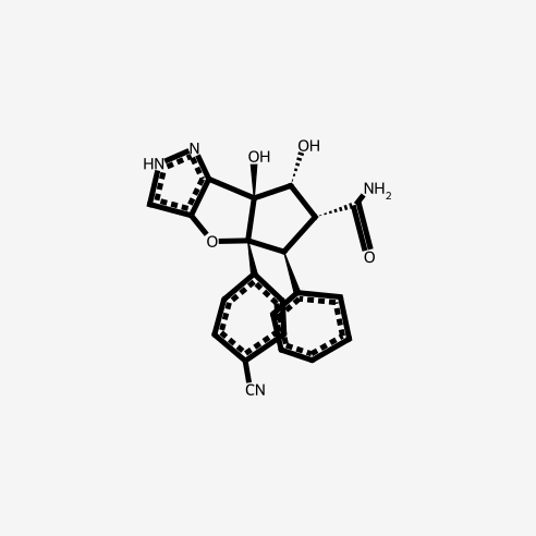 N#Cc1ccc([C@@]23Oc4c[nH]nc4[C@]2(O)[C@H](O)[C@H](C(N)=O)[C@H]3c2ccccc2)cc1